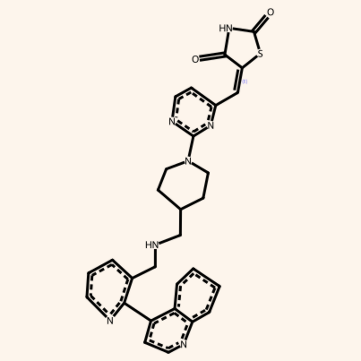 O=C1NC(=O)/C(=C\c2ccnc(N3CCC(CNCc4cccnc4-c4ccnc5ccccc45)CC3)n2)S1